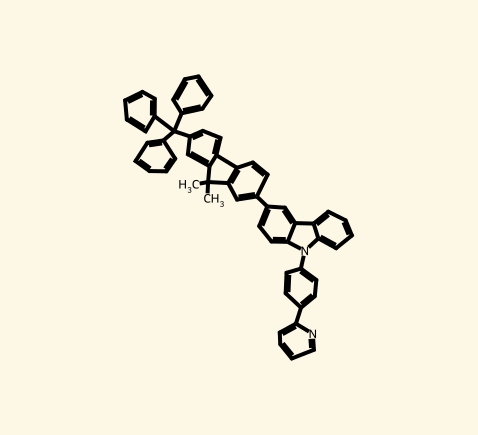 CC1(C)c2cc(-c3ccc4c(c3)c3ccccc3n4-c3ccc(-c4ccccn4)cc3)ccc2-c2ccc(C(c3ccccc3)(c3ccccc3)c3ccccc3)cc21